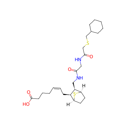 O=C(O)CCC/C=C\C[C@H]1[C@@H](CNC(=O)CNC(=O)CSCC2CCCCC2)[C@H]2CC[C@@H]1S2